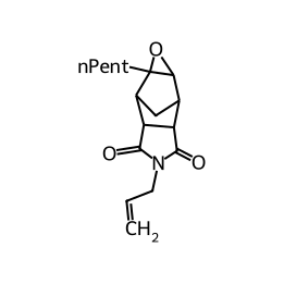 C=CCN1C(=O)C2C3CC(C2C1=O)C1(CCCCC)OC31